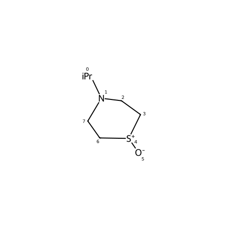 CC(C)N1CC[S+]([O-])CC1